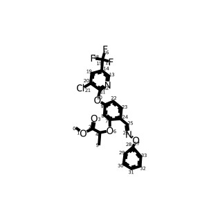 COC(=O)C(C)Oc1cc(Oc2ncc(C(F)(F)F)cc2Cl)ccc1C=NOc1ccccc1